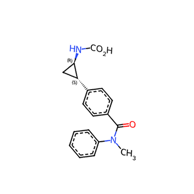 CN(C(=O)c1ccc([C@@H]2C[C@H]2NC(=O)O)cc1)c1ccccc1